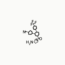 N#Cc1ccc(-c2cc(C(=O)N3CC[C@H](N)C3)ccc2-c2ccc(C(F)(F)F)cc2)cc1